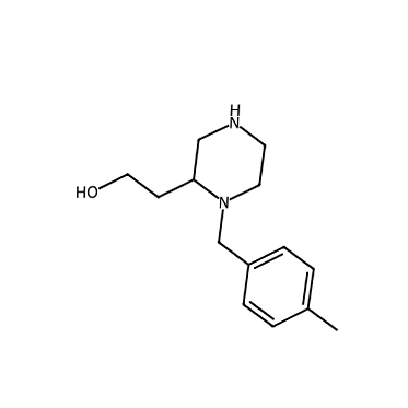 Cc1ccc(CN2CCNCC2CCO)cc1